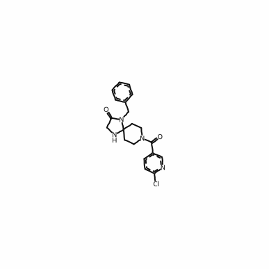 O=C(c1ccc(Cl)nc1)N1CCC2(CC1)NCC(=O)N2Cc1ccccc1